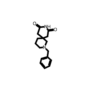 O=C1CC2(CCCN(Cc3ccccc3)C2)CC(=O)N1